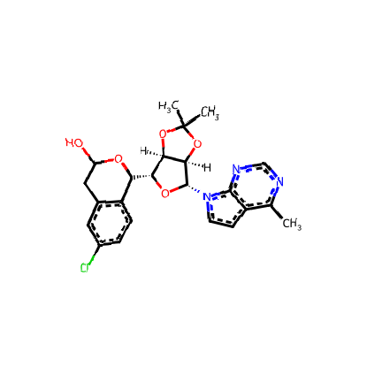 Cc1ncnc2c1ccn2[C@@H]1O[C@H](C2OC(O)Cc3cc(Cl)ccc32)[C@H]2OC(C)(C)O[C@H]21